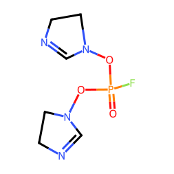 O=P(F)(ON1C=NCC1)ON1C=NCC1